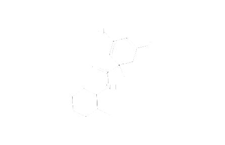 CC1CCCCC1NC(=O)C1(C)C=C(Cl)C=C(F)C1